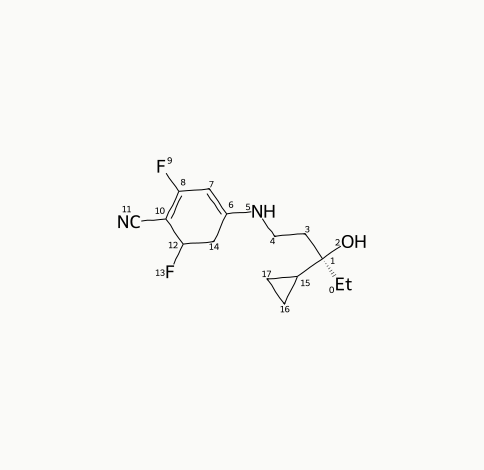 CC[C@@](O)(CCNC1=CC(F)=C(C#N)C(F)C1)C1CC1